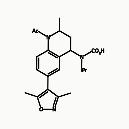 CC(=O)N1c2ccc(-c3c(C)noc3C)cc2C(N(C(=O)O)C(C)C)CC1C